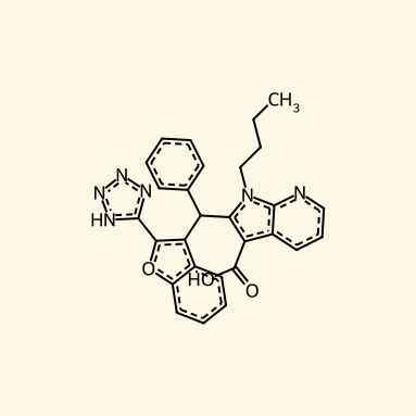 CCCCn1c(C(c2ccccc2)c2c(-c3nnn[nH]3)oc3ccccc23)c(C(=O)O)c2cccnc21